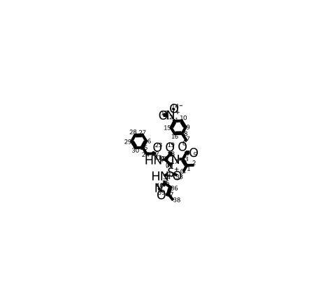 CC(C)=C(C(=O)OCc1ccc([N+](=O)[O-])cc1)N1C(=O)[C@@H](NC(=O)Cc2ccccc2)[C@H]1[S+]([O-])Nc1cc(C)on1